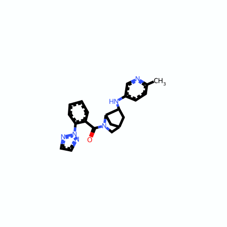 Cc1ccc(NC2CC3CC2N(C(=O)c2ccccc2-n2nccn2)C3)cn1